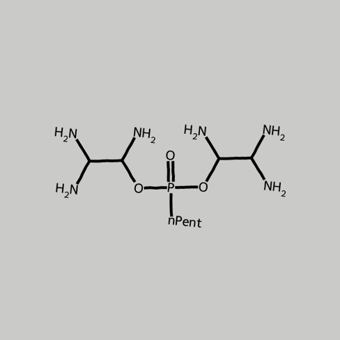 CCCCCP(=O)(OC(N)C(N)N)OC(N)C(N)N